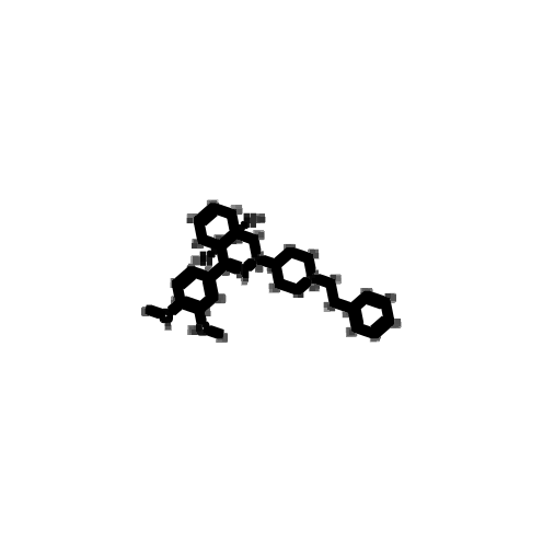 COc1ccc(C2=NN(C3CCN(CCc4ccccc4)CC3)C[C@@H]3CC=CC[C@H]23)cc1OC